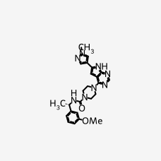 COc1cccc([C@H](C)NC(=O)N2CCN(c3ncnc4[nH]c(-c5cnn(C)c5)cc34)CC2)c1